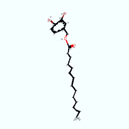 CCCCCCCCCCCCCC(=O)OCc1ccc(Br)c(Br)c1